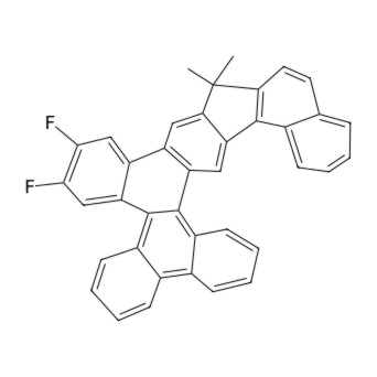 CC1(C)c2cc3c4cc(F)c(F)cc4c4c5ccccc5c5ccccc5c4c3cc2-c2c1ccc1ccccc21